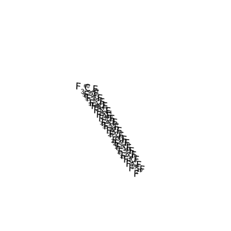 F[C](F)C(F)(F)C(F)(F)C(F)(F)C(F)(F)C(F)(F)C(F)(F)C(F)(F)C(F)(F)C(F)(F)C(F)(F)C(F)(F)C(F)(F)C(F)(F)C(F)(F)C(F)(F)C(F)(F)C(F)(F)C(F)(F)C(F)(F)C(F)(F)F